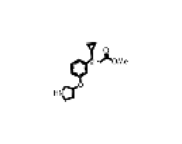 COC(=O)C[C@H](c1cccc(OC2CCNC2)c1)C1CC1